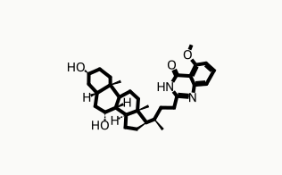 COc1cccc2nc(CC[C@@H](C)[C@H]3CC[C@H]4[C@H]5C(CC[C@]34C)[C@@]3(C)CC[C@@H](O)C[C@H]3C[C@H]5O)[nH]c(=O)c12